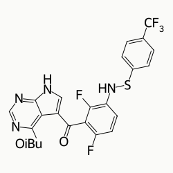 CC(C)COc1ncnc2[nH]cc(C(=O)c3c(F)ccc(NSc4ccc(C(F)(F)F)cc4)c3F)c12